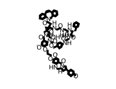 COc1ccc(C2=CN3C(=O)c4cc(OC)c(OCCCOc5cc6c(cc5OC)C(=O)N5CC7(CC7)C[C@H]5C(O)N6C(=O)OCc5ccc(NC(=O)CNC(=O)[C@H](Cc6ccccc6)NC(=O)CNC(=O)CNC(=O)CCC(=O)N6Cc7ccccc7C#Cc7ccccc76)cc5)cc4NC[C@@H]3C2)cc1